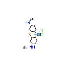 CC(C)Nc1ccc2c(c1)Sc1cc(NC(C)C)ccc1N2.Cl.Cl